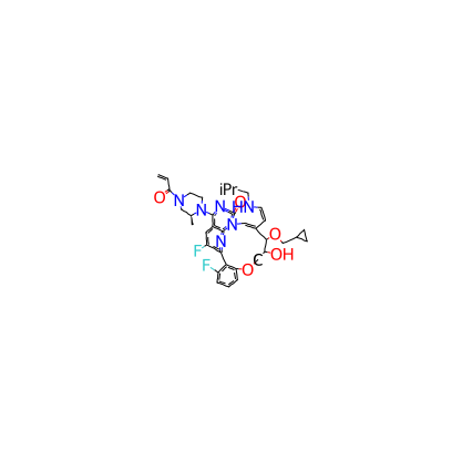 C=CC(=O)N1CCN(c2nc(=O)n3c4nc(c(F)cc24)-c2c(F)cccc2OCC(O)C(OCC2CC2)C(/C=C\NCC(C)C)=C\3)[C@@H](C)C1